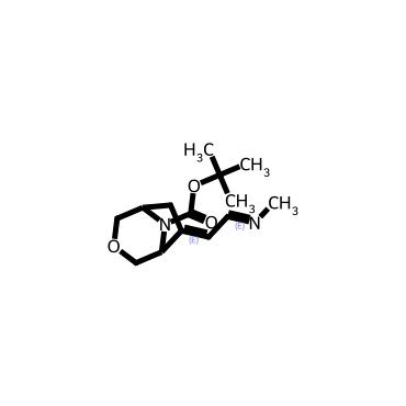 C/N=C/C=C1\CC2COCC1N2C(=O)OC(C)(C)C